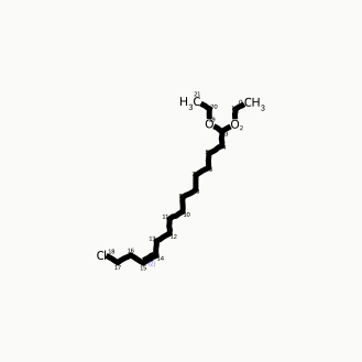 CCOC(CCCCCCCCCC/C=C\CCCl)OCC